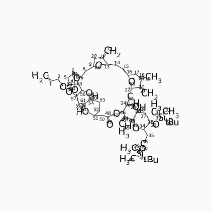 C=CCO[C@]12C[C@]34CCC5CC(=C)C(CCC6C[C@@H](C)C(=C)C(C[C@@H]7O[C@H]8CC(O[Si](C)(C)C(C)(C)C)C(CCO[Si](C)(C)C(C)(C)C)O[C@H]8[C@H](C)C7OC(=O)CC7CC[C@@H]8OC(C(O1)C(O3)[C@H]8O7)C2O4)O6)O5